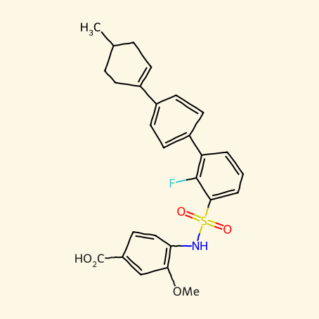 COc1cc(C(=O)O)ccc1NS(=O)(=O)c1cccc(-c2ccc(C3=CCC(C)CC3)cc2)c1F